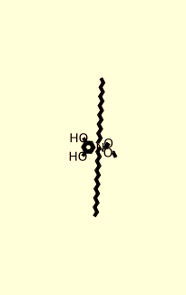 CCCCCCCCCCCCCCCN(CCCCCCCCCCCCCCC)C(=O)OCC.Oc1cccc(O)c1